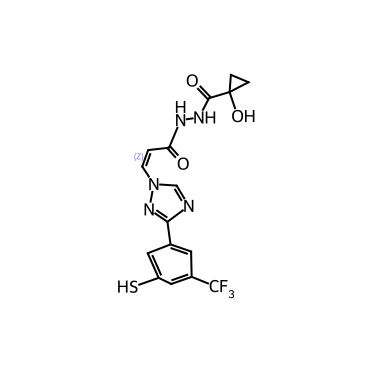 O=C(/C=C\n1cnc(-c2cc(S)cc(C(F)(F)F)c2)n1)NNC(=O)C1(O)CC1